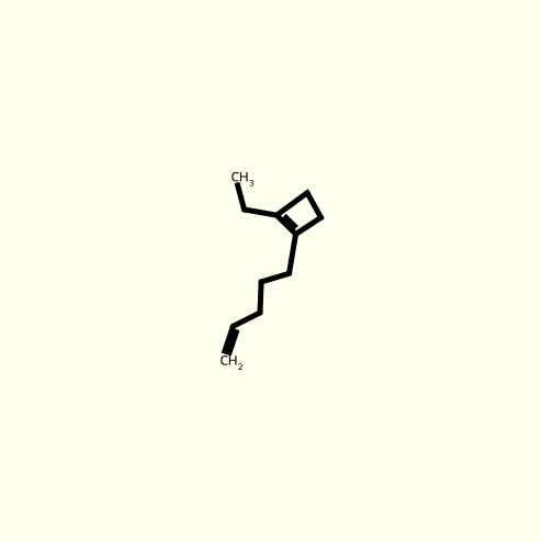 C=CCCCC1=C(CC)CC1